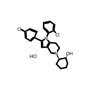 Cl.O[C@@H]1CCCC[C@H]1N1CCc2c(cc(-c3ccc(Cl)cc3)n2-c2ccccc2Cl)C1